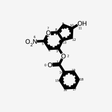 O=C(Oc1cc([N+](=O)[O-])oc2cc(O)cc1-2)c1ccccc1